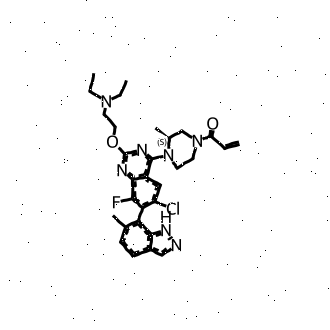 C=CC(=O)N1CCN(c2nc(OCCN(CC)CC)nc3c(F)c(-c4c(C)ccc5cn[nH]c45)c(Cl)cc23)[C@@H](C)C1